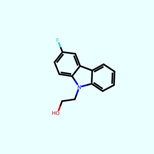 OCCn1c2ccccc2c2cc(F)ccc21